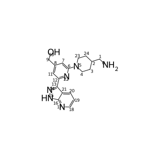 NCC1CCN(c2cc(CO)cc(-c3n[nH]c4ncccc34)n2)CC1